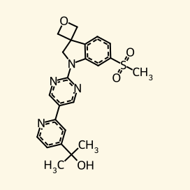 CC(C)(O)c1ccnc(-c2cnc(N3CC4(COC4)c4ccc(S(C)(=O)=O)cc43)nc2)c1